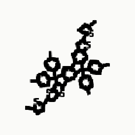 Cc1ccc(C2(c3ccc(C)cc3)c3cc4c(cc3-c3cc5cc(-c6ccc(C)s6)sc5cc32)C(c2ccc(C)cc2)(c2ccc(C)cc2)c2c-4sc3cc(-c4ccc(C)s4)sc23)cc1